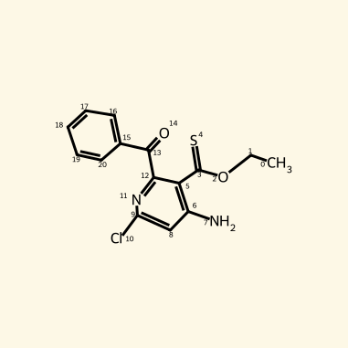 CCOC(=S)c1c(N)cc(Cl)nc1C(=O)c1ccccc1